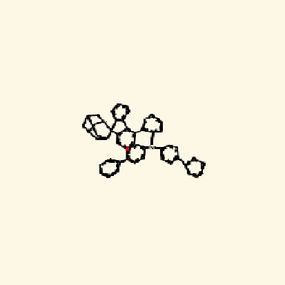 c1ccc(-c2ccc(N(c3ccc(-c4ccccc4)cc3)c3ccccc3-c3cccc4c3-c3ccccc3C43C4CC5CC(C4)CC3C5)cc2)cc1